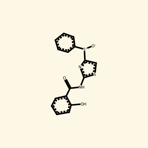 O=C(Nc1nc([S+]([O-])c2ccccc2)cs1)c1ccccc1O